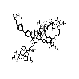 CCCCc1ccc(-c2ccc(C(=O)N[C@@H](CCCCNC(=O)OC(C)(C)C)C(=O)N(C)[C@@H]3C(=O)N[C@@H](C)C(=O)N[C@H](C(=O)O)CCCCCc4cc3ccc4OC)cc2)cc1